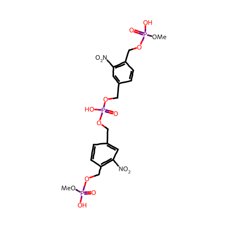 COP(=O)(O)OCc1ccc(COP(=O)(O)OCc2ccc(COP(=O)(O)OC)c([N+](=O)[O-])c2)cc1[N+](=O)[O-]